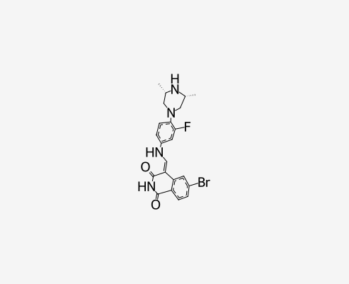 C[C@@H]1CN(c2ccc(N/C=C3\C(=O)NC(=O)c4ccc(Br)cc43)cc2F)C[C@H](C)N1